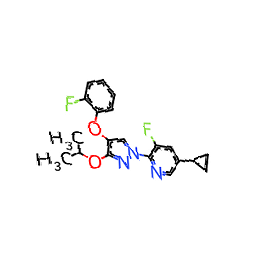 CC(C)Oc1nn(-c2ncc(C3CC3)cc2F)cc1Oc1ccccc1F